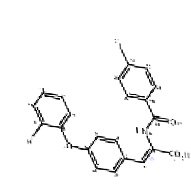 O=C(O)/C(=C/c1ccc(Oc2ccccc2I)cc1)NC(=O)c1ccc(I)cc1